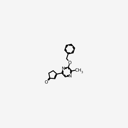 Cc1ncc(C2=CC(=O)CC2)nc1OCc1ccccc1